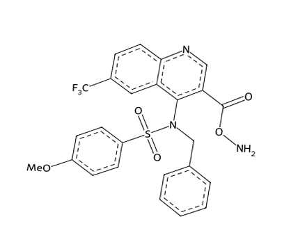 COc1ccc(S(=O)(=O)N(Cc2ccccc2)c2c(C(=O)ON)cnc3ccc(C(F)(F)F)cc23)cc1